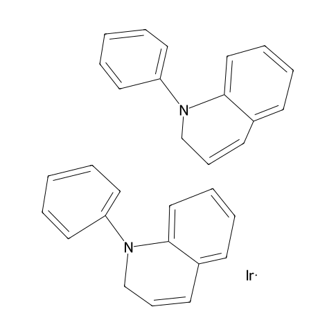 C1=Cc2ccccc2N(c2ccccc2)C1.C1=Cc2ccccc2N(c2ccccc2)C1.[Ir]